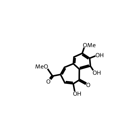 COC(=O)c1cc(O)c(=O)c2c(O)c(O)c(OC)cc2c1